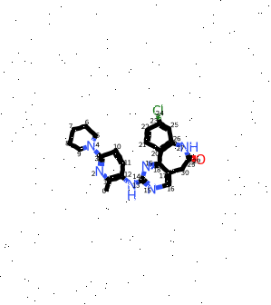 Cc1nc(N2CCCCC2)ccc1Nc1ncc2c(n1)-c1ccc(Cl)cc1NC(=O)C2